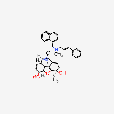 CN(C/C=C/c1ccccc1)Cc1cccc2ccccc12.CN1CC[C@]23C4=C5O[C@H]2[C@@H](O)C=C[C@H]3[C@H]1CC4=CCC5(C)O